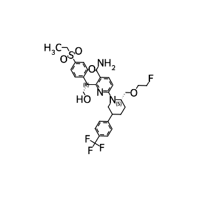 CCS(=O)(=O)c1ccc([C@@H](CO)c2nc(N3CC(c4ccc(C(F)(F)F)cc4)CC[C@H]3COCCF)ccc2C(N)=O)cc1